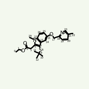 CCOC(=O)Cc1c(SC(C)(C)C)c2cc(OCc3ccc(C)cn3)ccc2n1C